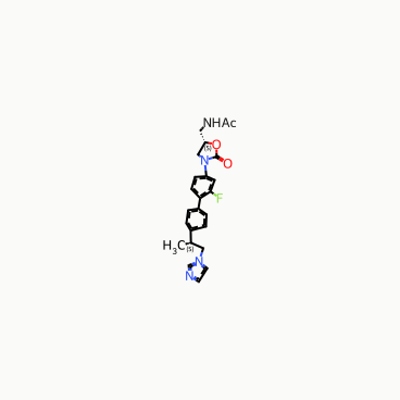 CC(=O)NC[C@H]1CN(c2ccc(-c3ccc([C@H](C)Cn4ccnc4)cc3)c(F)c2)C(=O)O1